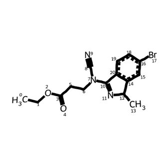 CCOC(=O)CCN(C#N)C1=NC(C)c2cc(Br)ccc21